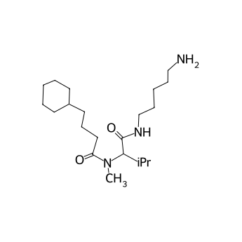 CC(C)C(C(=O)NCCCCCN)N(C)C(=O)CCCC1CCCCC1